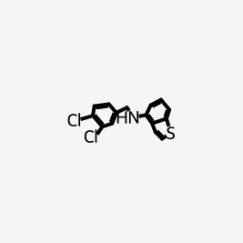 Clc1ccc(CNc2cccc3sccc23)cc1Cl